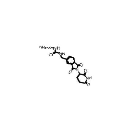 CCCCCCNC(=O)NCc1ccc2c(c1)C(=O)N(C1CCC(=O)NC1=O)C2=O